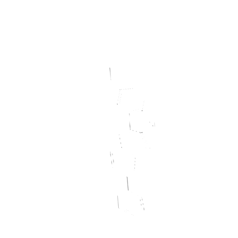 O=C1Nc2ccc(CCCl)cc2C1=Cc1ccc(-c2ccccc2)cc1